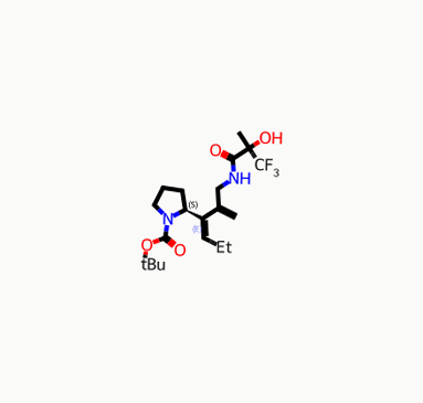 C=C(CNC(=O)C(C)(O)C(F)(F)F)/C(=C\CC)[C@@H]1CCCN1C(=O)OC(C)(C)C